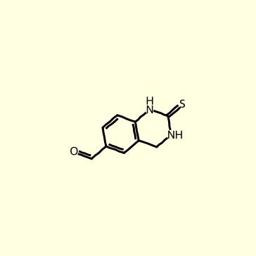 O=Cc1ccc2c(c1)CNC(=S)N2